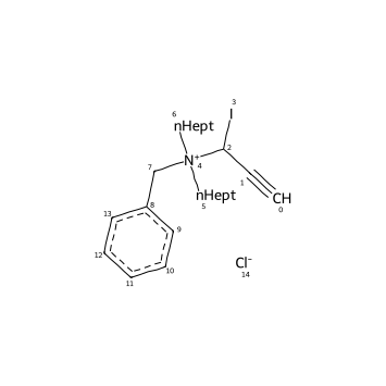 C#CC(I)[N+](CCCCCCC)(CCCCCCC)Cc1ccccc1.[Cl-]